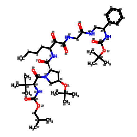 CCCCC(NC(=O)[C@@H]1C[C@@H](OC(C)(C)C)CN1C(=O)[C@@H](NC(=O)OCC(C)C)C(C)(C)C)C(=O)C(=O)NCC(=O)NCC(NC(=O)OC(C)(C)C)c1ccccc1